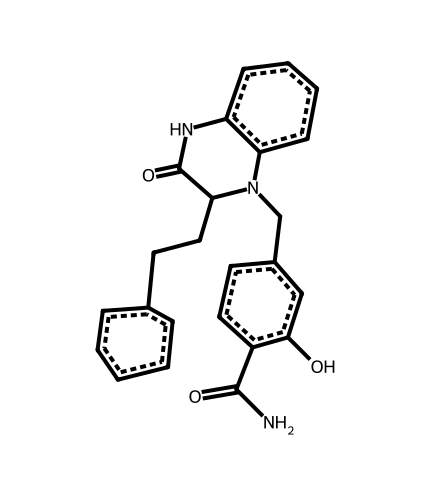 NC(=O)c1ccc(CN2c3ccccc3NC(=O)C2CCc2ccccc2)cc1O